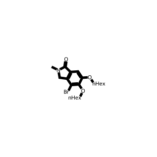 CCCCCCOc1cc2c(c(Br)c1OCCCCCC)CN(C)C2=O